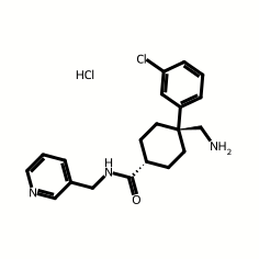 Cl.NC[C@]1(c2cccc(Cl)c2)CC[C@@H](C(=O)NCc2cccnc2)CC1